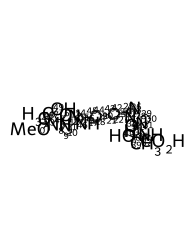 COC(=O)N[C@H](C(=O)N1CCCC1c1ncc(-c2ccc(-c3ccc(-c4cnc([C@@H]5CCCN5C(=O)[C@@H](NC(=O)O)[C@@H](C)O)[nH]4)cc3)cc2)[nH]1)[C@@H](C)O